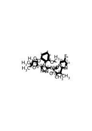 COc1cccc(OC)c1-n1c(NS(=O)(=O)C(C)C(C)c2ncc(F)cn2)nnc1[C@H]1CCC(C)(C)O1